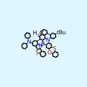 Cc1cc2c3c(c1)N(c1ccc(C(C)(C)C)cc1-c1ccccc1)c1cc4c(cc1B3n1c3c-2cc(N(c2ccccc2)c2ccccc2)cc3c2sc3ccccc3c21)Oc1ccccc1S4